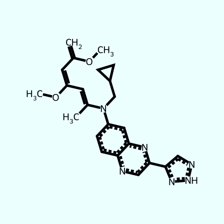 C=C(/C=C(\C=C(/C)N(CC1CC1)c1ccc2ncc(-c3cn[nH]n3)nc2c1)OC)OC